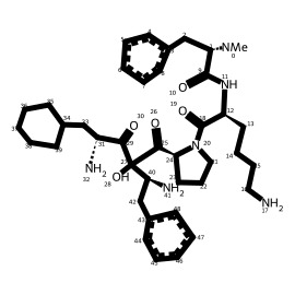 CN[C@@H](Cc1ccccc1)C(=O)N[C@@H](CCCCN)C(=O)N1CCC[C@H]1C(=O)C(O)(C(=O)[C@H](N)CC1CCCCC1)[C@@H](N)Cc1ccccc1